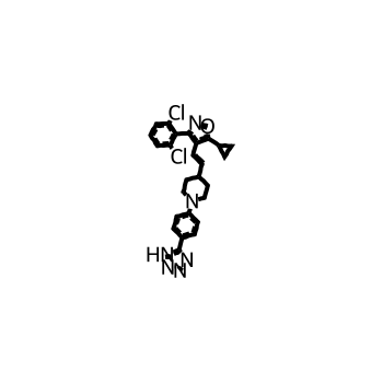 Clc1cccc(Cl)c1-c1noc(C2CC2)c1C=CC1CCN(c2ccc(-c3nnn[nH]3)cc2)CC1